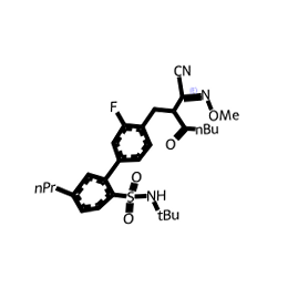 CCCCC(=O)C(Cc1ccc(-c2cc(CCC)ccc2S(=O)(=O)NC(C)(C)C)cc1F)/C(C#N)=N\OC